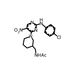 CC(=O)NCC1CCCN(c2nc(Nc3ccc(Cl)cc3)ncc2[N+](=O)[O-])C1